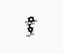 CC(C)c1cccc(C(C)C)c1NC(=O)c1ccc(NO)cc1